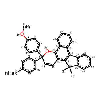 CCCCCCc1ccc(C2(c3ccc(OCCC)cc3)C=Cc3c4c(c5ccccc5c3O2)-c2ccccc2C4(C)C)cc1